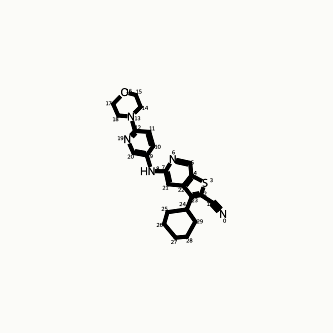 N#Cc1sc2cnc(Nc3ccc(N4CCOCC4)nc3)cc2c1C1CCCCC1